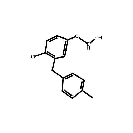 Cc1ccc(Cc2cc(OBO)ccc2Cl)cc1